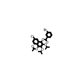 CC(=O)Oc1c(OC(C)C)c(OC(C)C)c(OC(=O)c2cccc(Br)c2)c2cc(Cl)ccc12